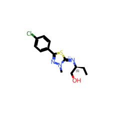 CC[C@@H](CO)/N=c1/sc(-c2ccc(Cl)cc2)nn1C